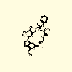 CCOc1nc(N)nc2c1ncn2[C@@H](C)O[C@H](COP(=O)(NC(C)C(=O)OCC(C)(C)C)Oc1ccccc1)[C@H](C)O